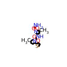 Cc1cc(NC(=O)C(=O)N2CC(C)CCC2c2cccs2)cnc1OC(N)=O